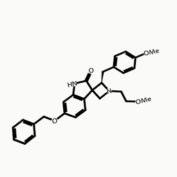 COCCN1CC2(C(=O)Nc3cc(OCc4ccccc4)ccc32)[C@H]1Cc1ccc(OC)cc1